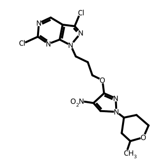 CC1CC(n2cc([N+](=O)[O-])c(OCCCn3nc(Cl)c4cnc(Cl)nc43)n2)CCO1